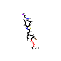 COCOc1ccc(C=Cc2nc3cc(C)c(N(C)CCI)cc3s2)cc1Br